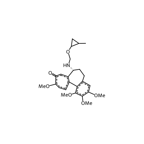 COc1cc2c(c(OC)c1OC)-c1ccc(OC)c(=O)cc1[C@H](NCOC1CC1C)CC2